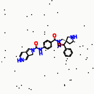 O=C(NC[C@@]1(C(=O)c2ccccc2)CCNC1)c1ccc(NC(=O)N2C=C3C=CNC=C3C2)cc1